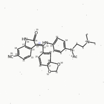 CC(=O)N(CCN(C)C)c1ccc(N/C(=C2\C(=O)Nc3cc(C#N)ccc32)c2ccc3c(c2)OCO3)cc1